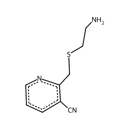 N#Cc1cccnc1CSCCN